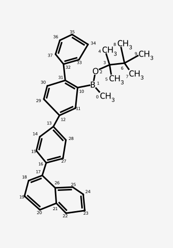 CB(OC(C)(C)C(C)(C)C)c1cc(-c2ccc(-c3cccc4ccccc34)cc2)ccc1-c1ccccc1